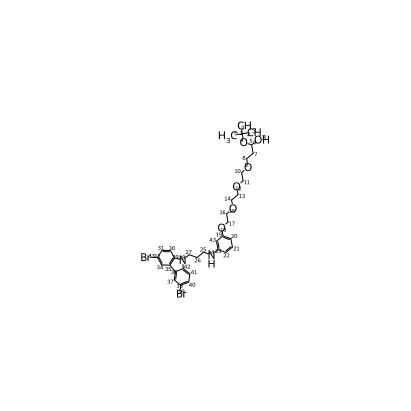 CC(C)(C)OC(O)CCOCCOCCOCCOc1cccc(NCCCn2c3ccc(Br)cc3c3cc(Br)ccc32)c1